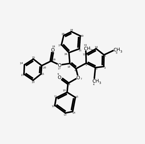 Cc1cc(C)c(C(OC(=O)c2ccccc2)=C(OC(=O)c2ccccc2)c2ccccc2)c(C)c1